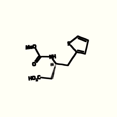 COC(=O)N[C@@H](CC(=O)O)Cc1cccs1